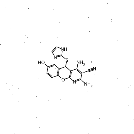 N#Cc1c(N)nc2c(c1N)C(Sc1ncc[nH]1)c1cc(O)ccc1O2